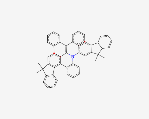 CC1(C)c2ccccc2-c2c(-c3ccccc3N(C3=C(c4ccccc4)c4ccccc4CC3)c3ccc4c(c3)C(C)(C)C3C=CC=CC43)cccc21